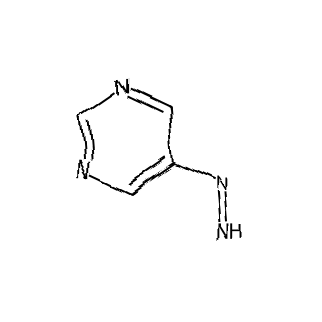 N=Nc1cncnc1